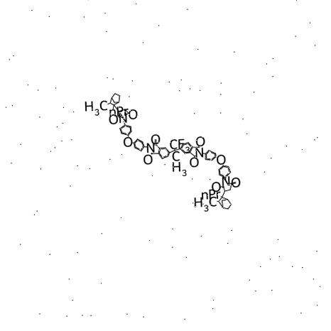 CCCC1(C2CC(=O)N(c3ccc(Oc4ccc(N5C(=O)c6ccc(C(C)(c7ccc8c(c7)C(=O)N(c7ccc(Oc9ccc(N%10C(=O)CC(C%11(CCC)C%12CCC(C%12)C%11C)C%10=O)cc9)cc7)C8=O)C(F)(F)F)cc6C5=O)cc4)cc3)C2=O)C2CCC(C2)C1C